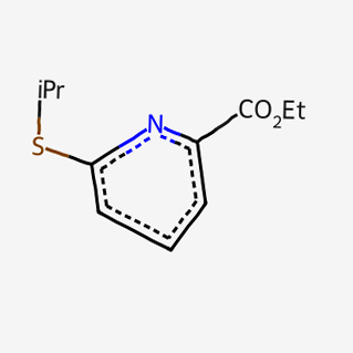 CCOC(=O)c1cccc(SC(C)C)n1